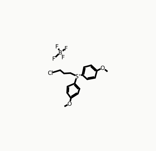 COc1ccc([S+](CCCCl)c2ccc(OC)cc2)cc1.F[B-](F)(F)F